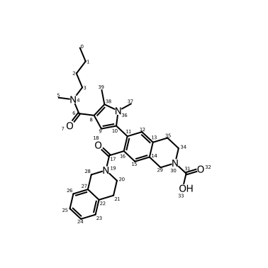 CCCCN(C)C(=O)c1cc(-c2cc3c(cc2C(=O)N2CCc4ccccc4C2)CN(C(=O)O)CC3)n(C)c1C